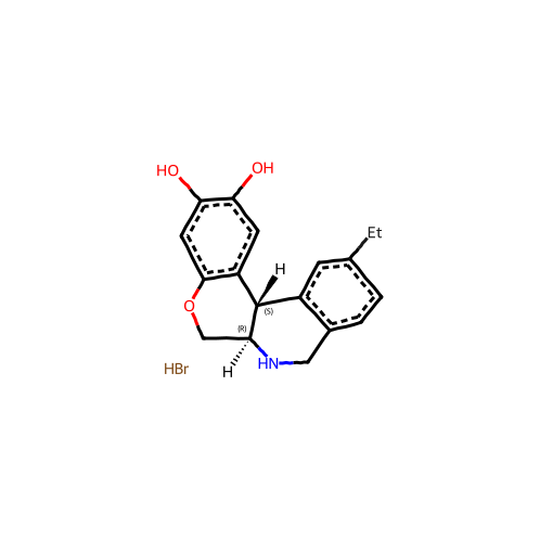 Br.CCc1ccc2c(c1)[C@H]1c3cc(O)c(O)cc3OC[C@@H]1NC2